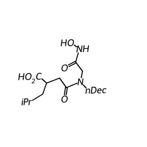 CCCCCCCCCCN(CC(=O)NO)C(=O)CC(CC(C)C)C(=O)O